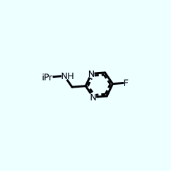 CC(C)NCc1ncc(F)cn1